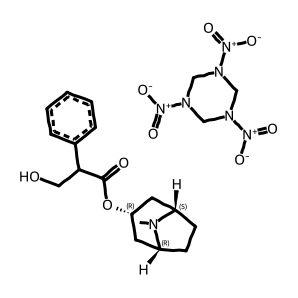 CN1[C@@H]2CC[C@H]1C[C@@H](OC(=O)C(CO)c1ccccc1)C2.O=[N+]([O-])N1CN([N+](=O)[O-])CN([N+](=O)[O-])C1